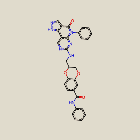 O=C(Nc1ccccc1)c1ccc2c(c1)OCC(CNc1ncc3c4[nH]ncc4c(=O)n(-c4ccccc4)c3n1)O2